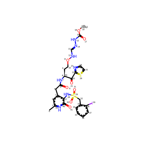 Cc1cc(CC(=O)N[C@@H](CCONC=NNC(=O)OC(C)(C)C)C(=O)c2nccs2)c(NS(=O)(=O)Cc2ccccc2I)c(=O)[nH]1